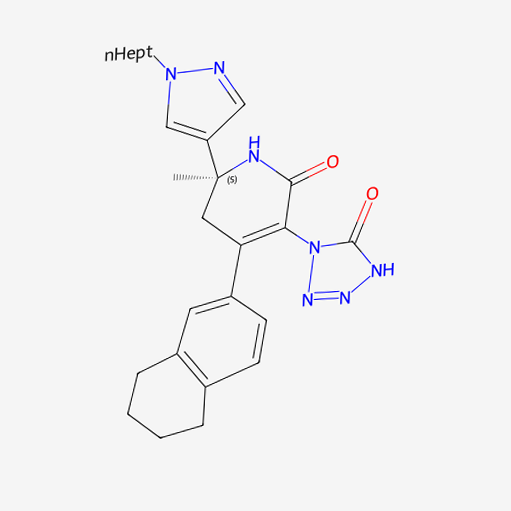 CCCCCCCn1cc([C@]2(C)CC(c3ccc4c(c3)CCCC4)=C(n3nn[nH]c3=O)C(=O)N2)cn1